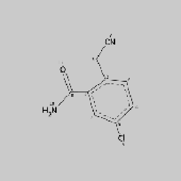 N#CCc1ccc(Cl)cc1C(N)=O